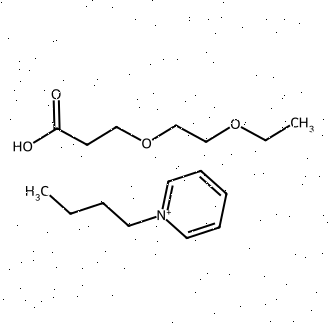 CCCC[n+]1ccccc1.CCOCCOCCC(=O)O